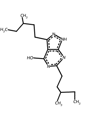 CCC(C)CCc1nc(O)c2c(CCC(C)CC)n[nH]c2n1